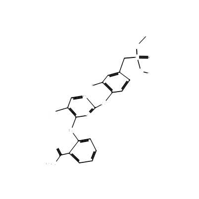 CCOP(=O)(Cc1ccc(Nc2ncc(C(F)(F)F)c(Nc3ccccc3C(=O)NC)n2)c(I)c1)OCC